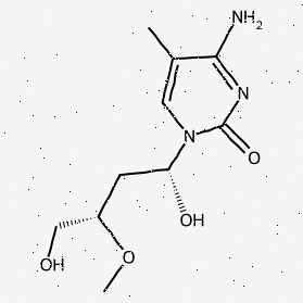 CO[C@H](CO)C[C@@H](O)n1cc(C)c(N)nc1=O